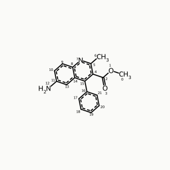 COC(=O)c1c(C)nc2ccc(N)cc2c1-c1ccccc1